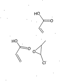 C=CC(=O)O.C=CC(=O)O.CC1OC1Cl